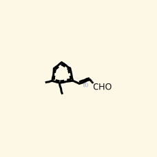 Cc1cccc(/C=C/C=O)c1C